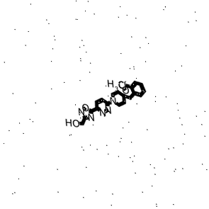 COC1(Cc2ccccc2Cl)CCN(c2ccc(-c3nc(CO)no3)nn2)CC1